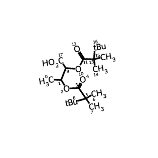 CC(OC(=O)C(C)(C)C(C)(C)C)C(OC(=O)C(C)(C)C(C)(C)C)C(=O)O